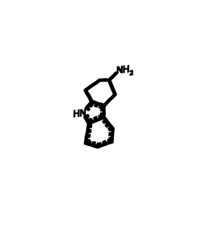 NC1CCc2[nH]c3ccccc3c2C1